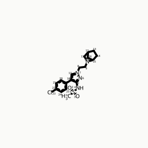 CS(=O)(=O)Nc1nn(CCN2CC3CCC2C3)cc1-c1ccc(Cl)cc1